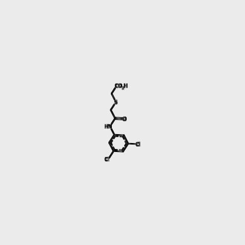 O=C(O)CSCC(=O)Nc1cc(Cl)cc(Cl)c1